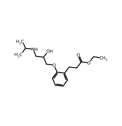 CCOC(=O)CCc1ccccc1OCC(O)CNC(C)C